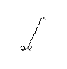 CCCCCCCCCCCCCCCCCCn1ccc(=O)c(OC2CCCCO2)c1